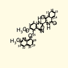 COc1ccc(NC(=O)C2NC(=O)c3ccccc3C2=O)c(C#N)c1COc1cccc2ccc(C)nc12